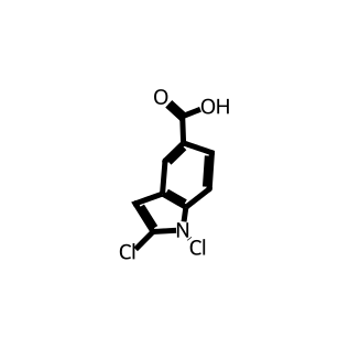 O=C(O)c1ccc2c(c1)cc(Cl)n2Cl